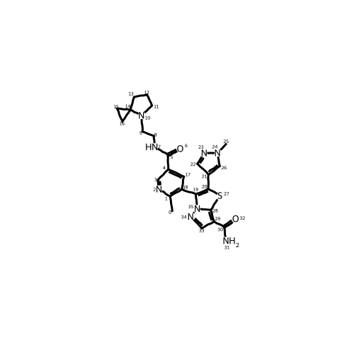 Cc1ncc(C(=O)NCCN2CCCC23CC3)cc1-c1c(-c2cnn(C)c2)sc2c(C(N)=O)cnn12